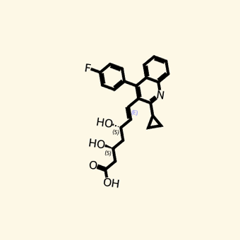 O=C(O)C[C@@H](O)C[C@H](O)/C=C/c1c(C2CC2)nc2ccccc2c1-c1ccc(F)cc1